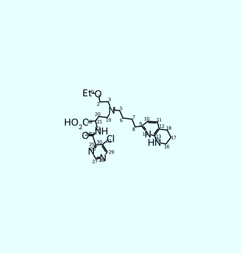 CCOCCN(CCCCc1ccc2c(n1)NCCC2)CCC(NC(=O)c1ncncc1Cl)C(=O)O